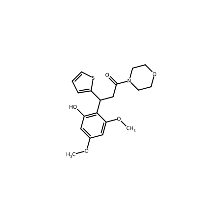 COc1cc(O)c(C(CC(=O)N2CCOCC2)c2cccs2)c(OC)c1